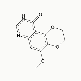 COc1cc2nc[nH]c(=O)c2c2c1OCCO2